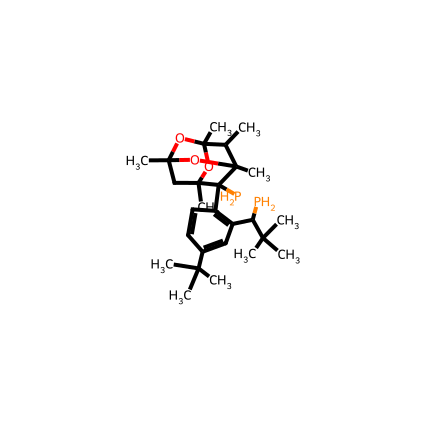 CC1C2(C)OC3(C)CC(C)(O2)C(P)(c2ccc(C(C)(C)C)cc2C(P)C(C)(C)C)C1(C)O3